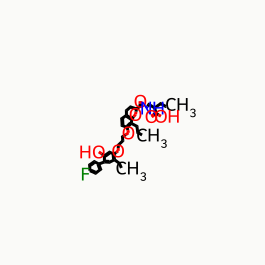 CCCc1c(OCCCOc2cc(O)c(-c3ccc(F)cc3)cc2CC)ccc2c1OC(C(=O)NCC(CCC)C(=O)O)CC2